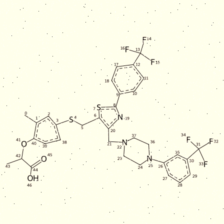 Cc1cc(SCc2sc(-c3ccc(C(F)(F)F)cc3)nc2CN2CCN(c3cccc(C(F)(F)F)c3)CC2)ccc1OC(C)C(=O)O